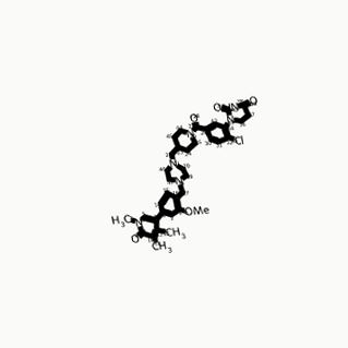 COc1cc(-c2cn(C)c(=O)c(C)c2C)ccc1CN1CCN(CC2CCN(C(=O)c3ccc(Cl)c(N4CCC(=O)NC4=O)c3)CC2)CC1